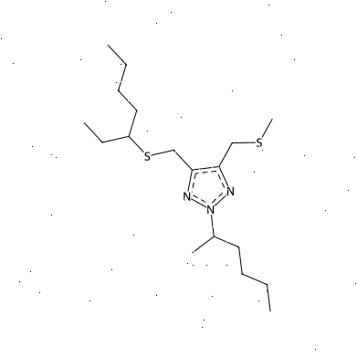 CCCCC(CC)SCc1nn(C(C)CCCC)nc1CSC